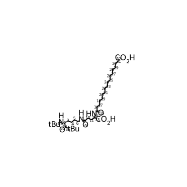 CC(C)(C)N[C@@H](CCCCNC(=O)CC[C@H](NC(=O)CCCCCCCCCCCCCCCCC(=O)O)C(=O)O)C(=O)C(C)(C)C